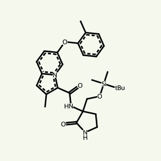 Cc1ccccc1Oc1ccc2cc(C)c(C(=O)NC3(CO[Si](C)(C)C(C)(C)C)CCNC3=O)n2c1